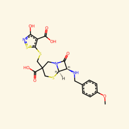 COc1ccc(CN[C@@H]2C(=O)N3CC(CSc4snc(O)c4C(=O)O)(C(=O)O)CS[C@H]23)cc1